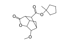 COC1C2CC3C1OC(=O)C3C2C(=O)OC1(C)CCCC1